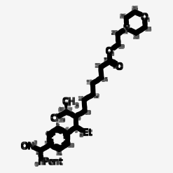 CCCCCC(N=O)c1ccc(C(CC)C(CCCCCCC(=O)OCCN2CCOCC2)[C@@H](C)Cl)cc1